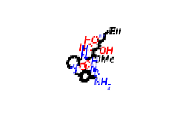 CCC(C)/C=C/[C@@H](O)[C@H](O)[C@@H](O)[C@@H](OC)C(=O)N[C@H]1CCCCN(Cc2ccc3c(N)n[nH]c3c2)C1=O